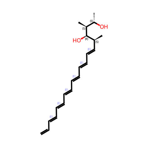 C=C/C=C/C=C/C=C/C=C/C=C/C=C/[C@H](C)[C@@H](O)[C@@H](C)[C@H](C)O